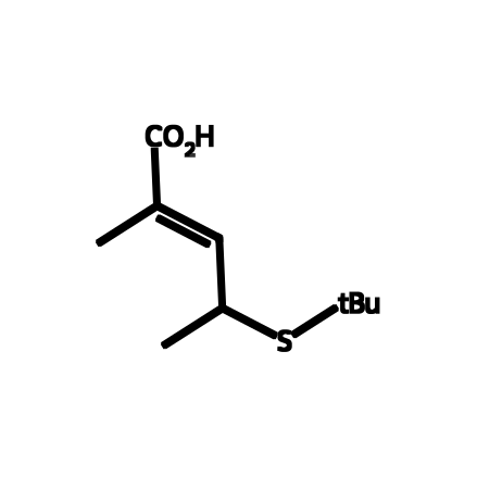 CC(=CC(C)SC(C)(C)C)C(=O)O